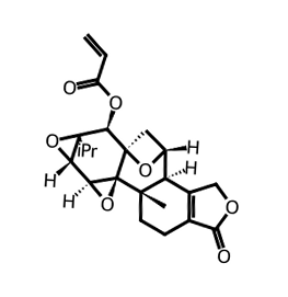 C=CC(=O)O[C@@H]1[C@@]2(C(C)C)O[C@H]2[C@@H]2O[C@@]23[C@@]2(C)CCC4=C(COC4=O)[C@@H]2[C@H]2C[C@@]13O2